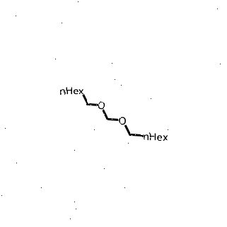 CCCCCCCOCOCCCCCCC